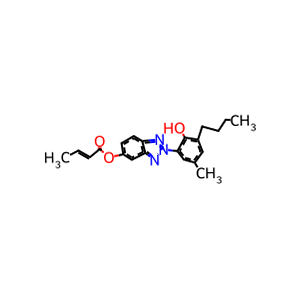 C/C=C/C(=O)Oc1ccc2nn(-c3cc(C)cc(CCCC)c3O)nc2c1